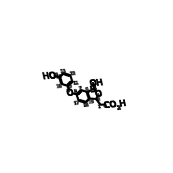 O=C(O)CC1OB(O)c2cc(Oc3cccc(O)c3)ccc21